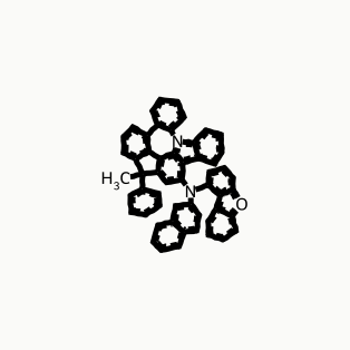 CC1(c2ccccc2)c2cccc3c2-c2c1cc(N(c1ccc4ccccc4c1)c1cccc4oc5ccccc5c14)c1c4ccccc4n(c21)-c1ccccc1-3